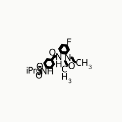 CC1CN(c2cc(F)ccc2NC(=O)C2CCC(NS(=O)(=O)C(C)C)CC2)CC(C)O1